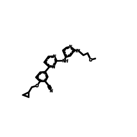 COCCNc1cc(Nc2nccc(-c3ccc(OCC4CC4)c(C#N)c3)n2)ccn1